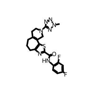 Cn1nnc(N2CCC3=C(C2)c2sc(C(=O)Nc4ccc(F)cc4F)nc2CCC3)n1